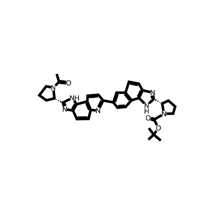 CC(=O)N1CCC[C@H]1c1nc2ccc3nc(-c4ccc5c(ccc6nc([C@@H]7CCCN7C(=O)OC(C)(C)C)[nH]c65)c4)ccc3c2[nH]1